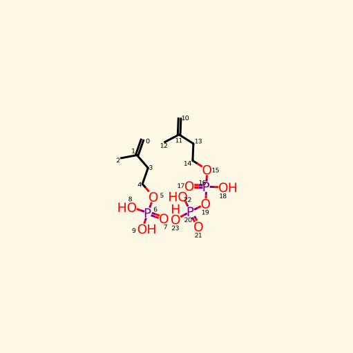 C=C(C)CCOP(=O)(O)O.C=C(C)CCOP(=O)(O)OP(=O)(O)O